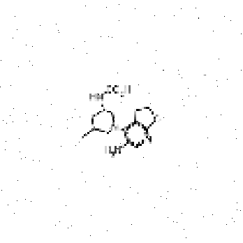 CC1C[C@H](NC(=O)O)CN(c2c(N)cnc3c2CCO3)C1